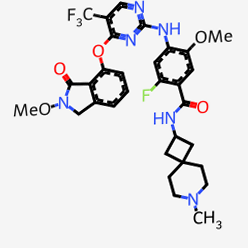 COc1cc(C(=O)NC2CC3(CCN(C)CC3)C2)c(F)cc1Nc1ncc(C(F)(F)F)c(Oc2cccc3c2C(=O)N(OC)C3)n1